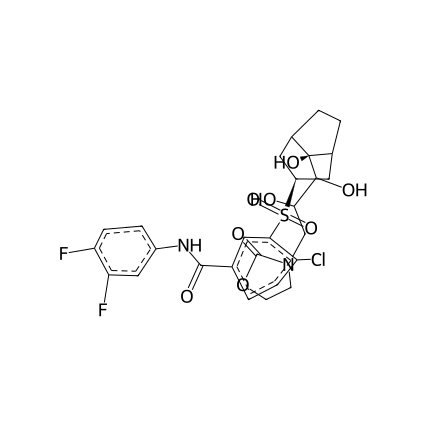 O=C(Nc1ccc(F)c(F)c1)c1ccc(Cl)c(S(=O)(=O)[C@H]2CC3CCC(C2)[C@]3(O)C(O)C(O)CN2CCOC2=O)c1